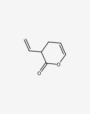 C=CC1CC=COC1=O